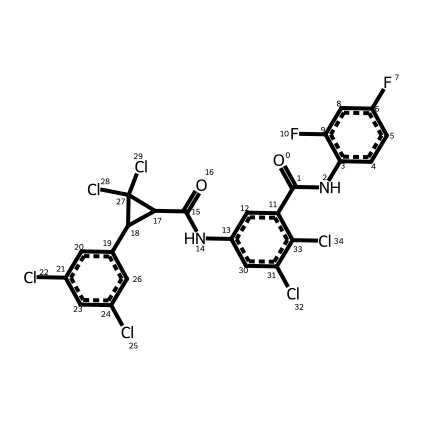 O=C(Nc1ccc(F)cc1F)c1cc(NC(=O)C2C(c3cc(Cl)cc(Cl)c3)C2(Cl)Cl)cc(Cl)c1Cl